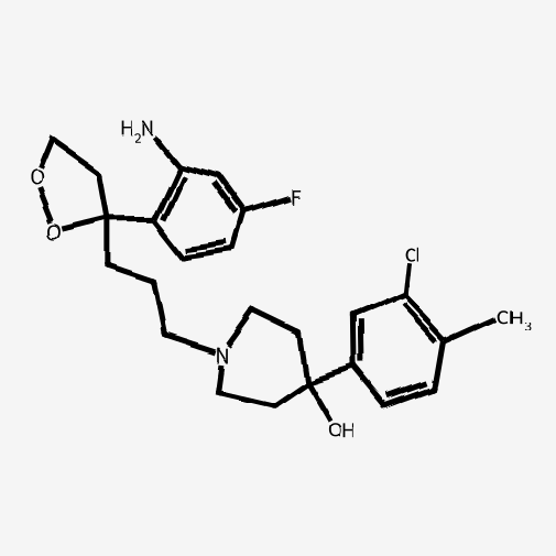 Cc1ccc(C2(O)CCN(CCCC3(c4ccc(F)cc4N)CCOO3)CC2)cc1Cl